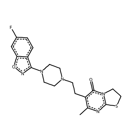 Cc1nc2n(c(=O)c1CCN1CCN(c3noc4cc(F)ccc34)CC1)CCS2